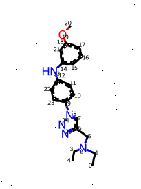 CCN(CC)Cc1cn(-c2ccc(Nc3cccc(OC)c3)cc2)nn1